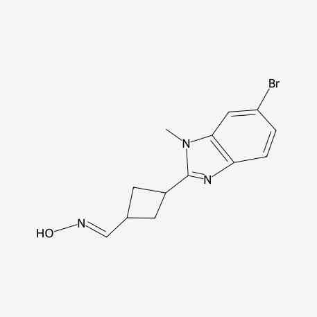 Cn1c(C2CC(C=NO)C2)nc2ccc(Br)cc21